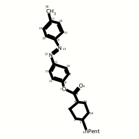 CCCCCC1CCC(C(=O)Oc2ccc(N=Nc3ccc(C)cc3)cc2)CC1